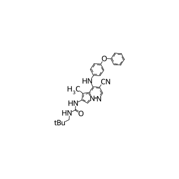 Cc1c(NC(=O)NCC(C)(C)C)cn2ncc(C#N)c(Nc3ccc(Oc4ccccc4)cc3)c12